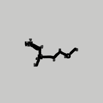 COCCN(C)C=N